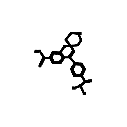 CCN(CC)C(=O)c1ccc(C2=CC3(CCNCC3)Oc3cc(C(=O)NC)ccc32)cc1